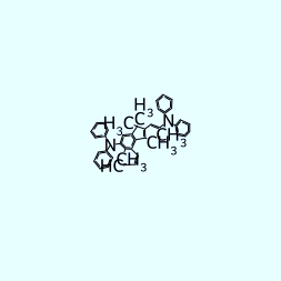 C#C/C=C\c1c(C)c(N(c2ccccc2)c2ccccc2)cc2c1C(C)=C(/C=C(\C)N(c1ccccc1)c1ccccc1)C2(C)C